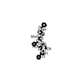 COC1C(OC(=O)c2ccccc2)[C@@H](COP(=S)(OCCC#N)OC2C[C@H](n3cc(-c4ccccc4)c(=O)[nH]c3=O)O[C@@H]2CO)O[C@H]1n1cnc2c(NC(=O)c3ccccc3)ncnc21